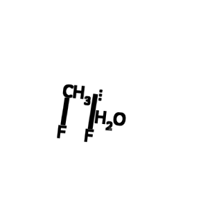 CF.O.[C]F